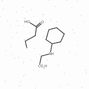 CCCC(=O)O.O=C(O)CNC1CCCCC1